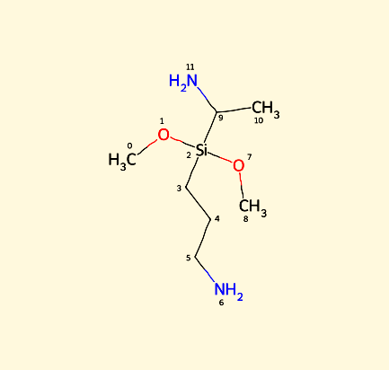 CO[Si](CCCN)(OC)C(C)N